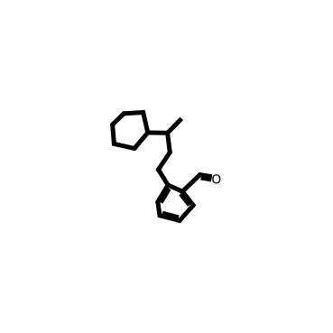 CC(CCc1ccccc1C=O)C1CCCCC1